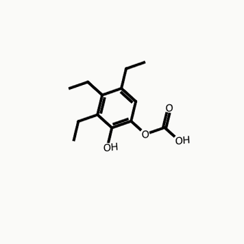 CCc1cc(OC(=O)O)c(O)c(CC)c1CC